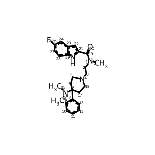 CN(CCN1CCC(c2ccccc2)(N(C)C)CC1)C(=O)c1cc2cc(F)ccc2[nH]1